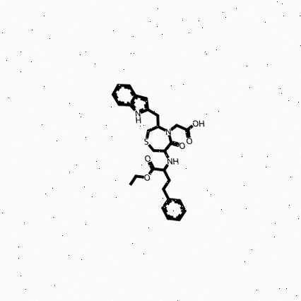 CCOC(=O)C(CCc1ccccc1)NC1CSCC(Cc2cc3ccccc3[nH]2)N(CC(=O)O)C1=O